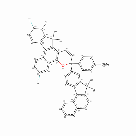 COc1ccc(C2(c3ccc4c(c3)C(C)(C)c3ccc5ccccc5c3-4)C=Cc3c4c(c5ccc(F)cc5c3O2)C2=C(C(C)C(F)C=C2)C4(C)C)cc1